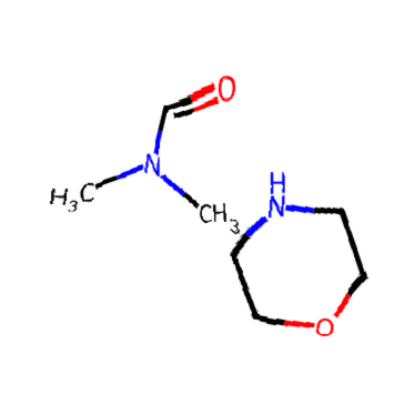 C1COCCN1.CN(C)C=O